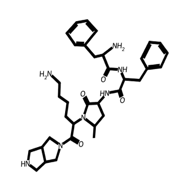 CC1CC(NC(=O)C(Cc2ccccc2)NC(=O)C(N)Cc2ccccc2)C(=O)N1C(CCCCN)C(=O)N1CC2CNCC2C1